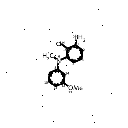 Bc1cccc(N(C)c2cccc(OC)c2)c1Cl